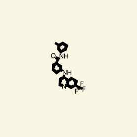 Cc1cccc(NC(=O)c2cccc(Nc3ccnc4cc(C(F)(F)F)ccc34)c2)c1